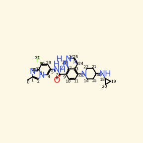 Cc1cn2cc(NC(=O)c3ccc(N4CCC(NC5CC5)CC4)c(/C=C\N)c3N)cc(F)c2n1